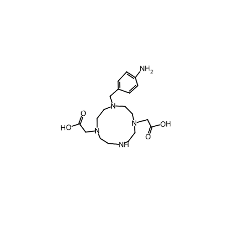 Nc1ccc(CN2CCN(CC(=O)O)CCNCCN(CC(=O)O)CC2)cc1